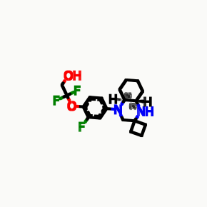 OCC(F)(F)Oc1ccc(N2CC3(CCC3)N[C@H]3CCCC[C@@H]32)cc1F